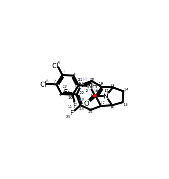 O=C(Nc1cc(Cl)c(Cl)cc1F)N1C2CCC1C1C=C2/C=N\C(F)=C(\F)C1